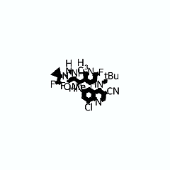 COC1=C([C@@H](Nc2cc(Cl)c3ncc(C#N)c(NCC(C)(C)C)c3c2)c2ccc(F)nc2C)NNN1C1(C(F)F)CC1